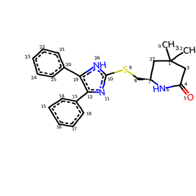 CC1(C)CC(=O)N[C@@H](CSc2nc(-c3ccccc3)c(-c3ccccc3)[nH]2)C1